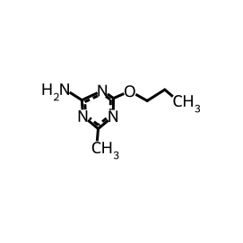 CCCOc1nc(C)nc(N)n1